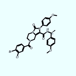 COc1ccc([C@H](C)NC(=O)c2c3n(c(=O)n2-c2ccc(OC)cc2)CCN(C(=O)c2ccc(Br)c(Cl)c2)C3)cc1